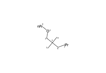 CCCOCC(C)(C)CC(C)C